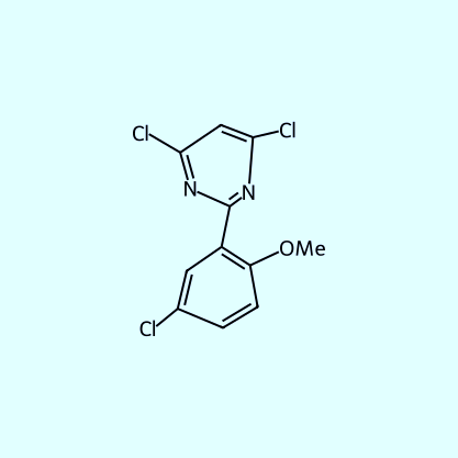 COc1ccc(Cl)cc1-c1nc(Cl)cc(Cl)n1